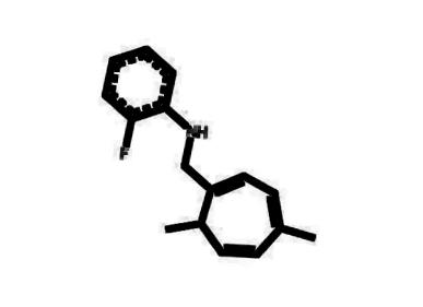 CC1=CC=C(CNc2ccccc2F)C(C)C=C1